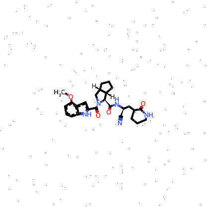 COc1cccc2[nH]c(C(=O)N3C[C@@H]4CCC[C@@H]4[C@H]3C(=O)N[C@H](C#N)CC3CCCNC3=O)cc12